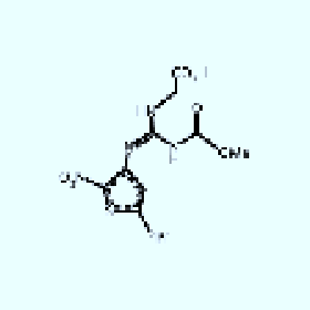 CCCc1cc(N=C(NCC(=O)O)NC(=O)OC)c([N+](=O)[O-])s1